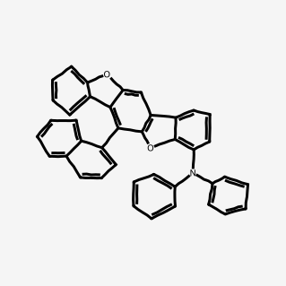 c1ccc(N(c2ccccc2)c2cccc3c2oc2c(-c4cccc5ccccc45)c4c(cc23)oc2ccccc24)cc1